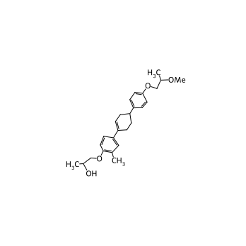 COC(C)COc1ccc(C2CC=C(c3ccc(OCC(C)O)c(C)c3)CC2)cc1